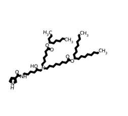 CCCCCCCCC(CCCCCCCC)OC(=O)CCCCCCCN(CCCCCC(=O)OC(CCC)CCCCC)CC(O)CCCCNC(=O)c1cc[nH]c1